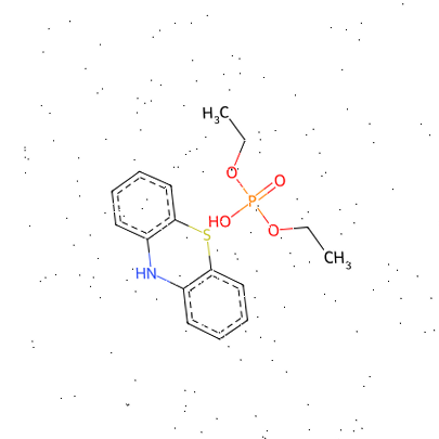 CCOP(=O)(O)OCC.c1ccc2c(c1)Nc1ccccc1S2